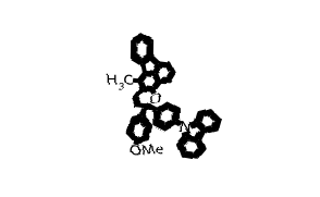 COc1ccc(C2(c3ccc(-n4c5ccccc5c5ccccc54)cc3)C=Cc3c(C)c4c5c(cccc5c3O2)-c2ccccc2-4)cc1